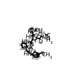 CCNC(=O)C(=O)CC[C@H](NC(=O)c1nccn1C)C(=O)Nc1cccn(CC(=O)NC23CC4CC(C2)C(CC)(C4)C3)c1=O